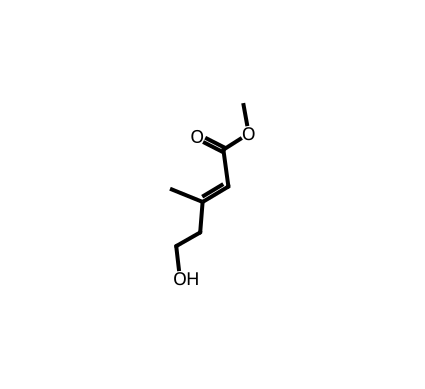 COC(=O)/C=C(\C)CCO